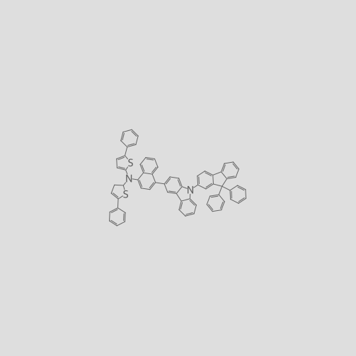 C1=C(c2ccccc2)SC(N(c2ccc(-c3ccccc3)s2)c2ccc(-c3ccc4c(c3)c3ccccc3n4-c3ccc4c(c3)C(c3ccccc3)(c3ccccc3)c3ccccc3-4)c3ccccc23)C1